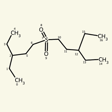 CCC(CC)CCS(=O)(=O)CCC(CC)CC